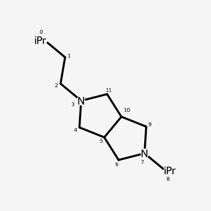 CC(C)CCN1CC2CN(C(C)C)CC2C1